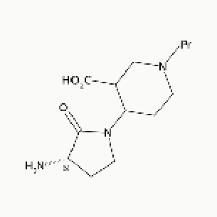 CC(C)N1CCC(N2CC[C@H](N)C2=O)C(C(=O)O)C1